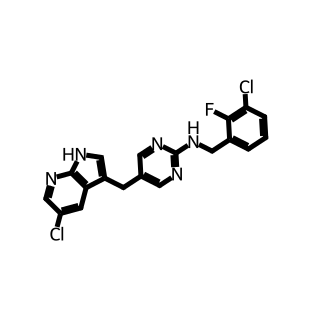 Fc1c(Cl)cccc1CNc1ncc(Cc2c[nH]c3ncc(Cl)cc23)cn1